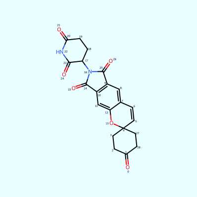 O=C1CCC2(C=Cc3cc4c(cc3O2)C(=O)N(C2CCC(=O)NC2=O)C4=O)CC1